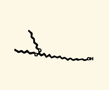 CCCCCCCOC(CCCCCCCCCCCCC/C=C/CCO)OCCCCCCC